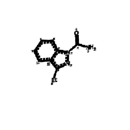 CCc1nn(C(N)=O)c2ccccc12